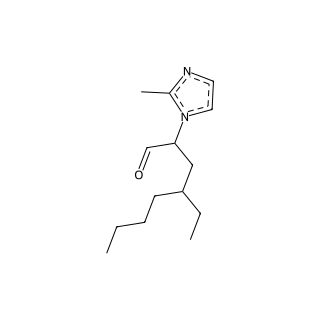 CCCCC(CC)CC(C=O)n1ccnc1C